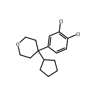 Clc1ccc(C2(C3CCCC3)CCOCC2)cc1Cl